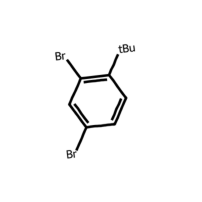 CC(C)(C)c1ccc(Br)cc1Br